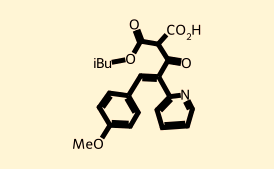 CCC(C)OC(=O)C(C(=O)O)C(=O)C(=Cc1ccc(OC)cc1)c1ccccn1